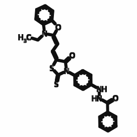 CCN1/C(=C\C=C2\SC(=S)N(c3ccc(NNC(=O)c4ccccc4)cc3)C2=O)Oc2ccccc21